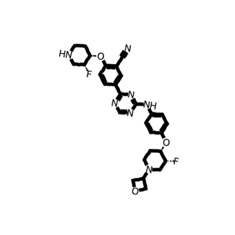 N#Cc1cc(-c2ncnc(Nc3ccc(O[C@H]4CCN(C5COC5)C[C@H]4F)cc3)n2)ccc1O[C@H]1CCNC[C@H]1F